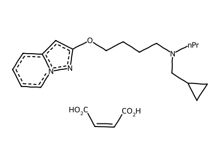 CCCN(CCCCOc1cc2ccccn2n1)CC1CC1.O=C(O)/C=C\C(=O)O